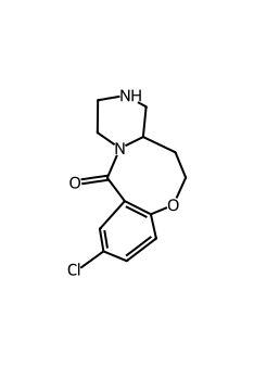 O=C1c2cc(Cl)ccc2OCCC2CNCCN12